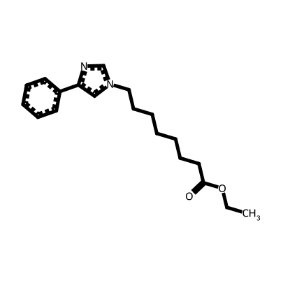 CCOC(=O)CCCCCCCn1cnc(-c2ccccc2)c1